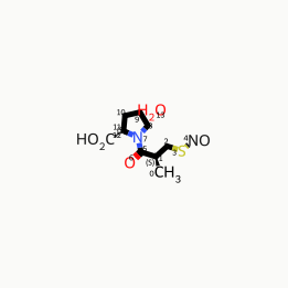 C[C@H](CSN=O)C(=O)N1CCC[C@H]1C(=O)O.O